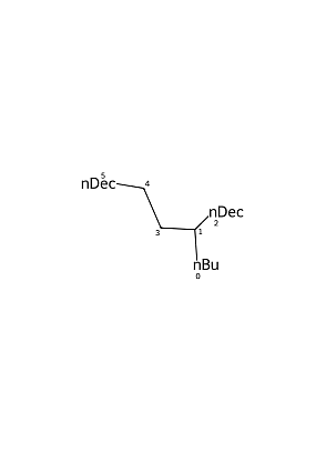 [CH2]CCCC(CCCCCCCCCC)CCCCCCCCCCCC